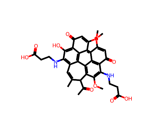 COc1c(NCCC(=O)O)c2c(=O)cc(OC)c3c4c(OC)cc(=O)c5c(O)c(NCCC(=O)O)c6c(c(c1C(C(C)=O)C(C)=C6)c23)c54